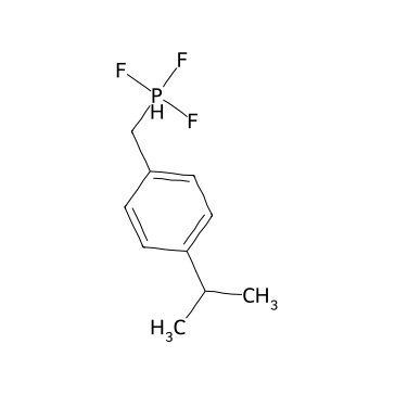 CC(C)c1ccc(C[PH](F)(F)F)cc1